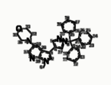 Cn1cc(-c2cnn(C(c3ccccc3)(c3ccccc3)c3ccccc3)c2)c2cc(N3CCOCC3)cnc21